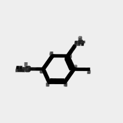 CCCC1=C(C)C=CC(OC)C1